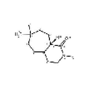 BC1(C)CCC2CCN(C)C(=O)[C@H]2CC1